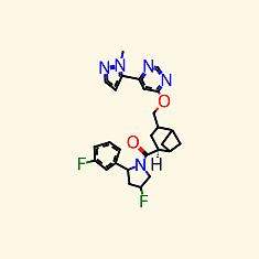 Cn1nccc1-c1cc(OCC2C[C@H](C(=O)N3CC(F)CC3c3cccc(F)c3)C3CC2C3)ncn1